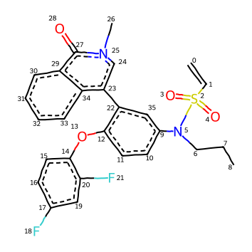 C=CS(=O)(=O)N(CCC)c1ccc(Oc2ccc(F)cc2F)c(-c2cn(C)c(=O)c3ccccc23)c1